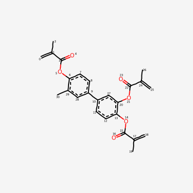 C=C(C)C(=O)Oc1ccc(-c2ccc(OC(=O)C(=C)C)c(OC(=O)C(=C)C)c2)cc1C